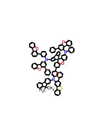 CC1(C)c2ccccc2-c2ccc(N(c3ccc(-c4ccc5c(c4)Oc4ccc(N(c6ccccc6)c6cc(-c7ccccc7)cc7oc8ccccc8c67)cc4C54c5ccccc5-c5cc(N(c6cccc(-c7cccc8c7oc7ccccc78)c6)c6cc(-c7ccccc7)c7oc8ccccc8c7c6)ccc54)cc3)c3cc4c(cc3-c3ccccc3)sc3ccccc34)cc21